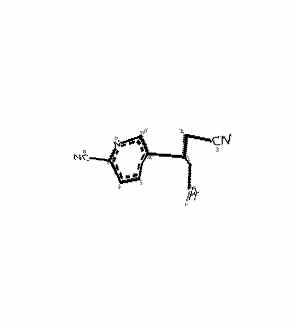 CC(C)C(CC#N)c1ccc(C#N)nc1